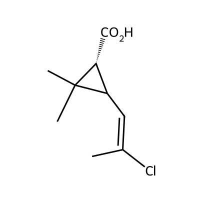 C/C(Cl)=C\C1[C@@H](C(=O)O)C1(C)C